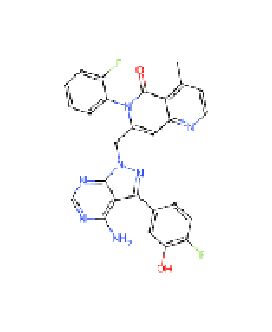 Cc1ccnc2cc(Cn3nc(-c4ccc(F)c(O)c4)c4c(N)ncnc43)n(-c3ccccc3F)c(=O)c12